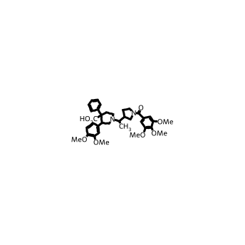 COc1ccc(C2CN(C(C)C3CCN(C(=O)c4cc(OC)c(OC)c(OC)c4)C3)CCC2(C(=O)O)c2ccccc2)cc1OC